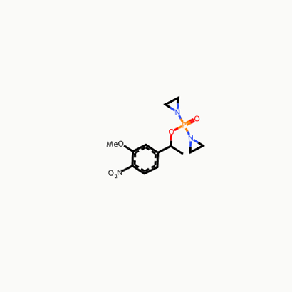 COc1cc(C(C)OP(=O)(N2CC2)N2CC2)ccc1[N+](=O)[O-]